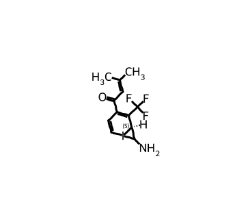 CC(C)=CC(=O)C1=C(C(F)(F)F)[C@H]2C(N)I2C=C1